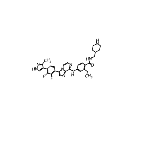 CCc1cc(Nc2nccn3c(-c4ccc(-c5c[nH]nc5C)c(F)c4F)cnc23)ccc1C(=O)NCC1CCNCC1